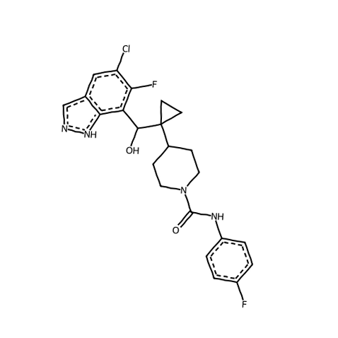 O=C(Nc1ccc(F)cc1)N1CCC(C2(C(O)c3c(F)c(Cl)cc4cn[nH]c34)CC2)CC1